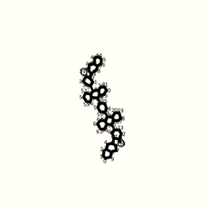 c1ccc2cc3c(cc2c1)oc1ccc(-c2c4ccccc4c(-c4ccc(-c5c6ccccc6c(-c6ccc7oc8cc9ccccc9cc8c7c6)c6ccccc56)cc4)c4ccccc24)cc13